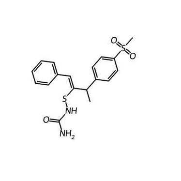 CC(C(=Cc1ccccc1)SNC(N)=O)c1ccc(S(C)(=O)=O)cc1